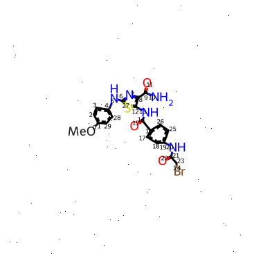 COc1ccc(Nc2nc(C(N)=O)c(NC(=O)c3ccc(NC(=O)CBr)cc3)s2)cc1